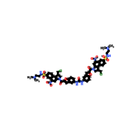 CN(C)CCNS(=O)(=O)c1ccc2c3c(cc([N+](=O)[O-])c2c1)N(C(=O)c1cc2cc(NC(=O)Nc4ccc5oc(C(=O)N6CC(CCl)c7c6cc([N+](=O)[O-])c6cc(S(=O)(=O)NCCN(C)C)ccc76)cc5c4)ccc2o1)CC3CCl